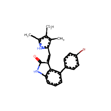 Cc1[nH]c(/C=C2\C(=O)Nc3cccc(-c4ccc(Br)cc4)c32)c(C)c1C(=O)O